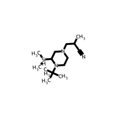 CC(C#N)CN1CCN(C(C)(C)C)C([SiH](C)C)C1